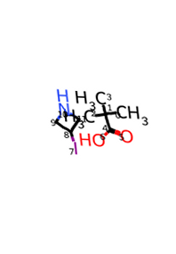 CC(C)(C)C(=O)O.IC1CNC1